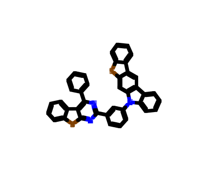 c1ccc(-c2nc(-c3cccc(-n4c5ccccc5c5cc6c(cc54)sc4ccccc46)c3)nc3sc4ccccc4c23)cc1